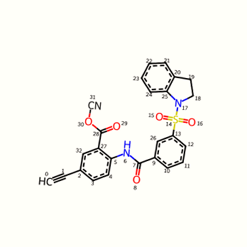 C#Cc1ccc(NC(=O)c2cccc(S(=O)(=O)N3CCc4ccccc43)c2)c(C(=O)OC#N)c1